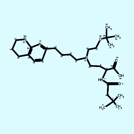 CC(C)(C)CC(=O)NC(CCN(CCCCc1ccc2c(n1)NCCC2)CCOC(C)(C)C)C(=O)O